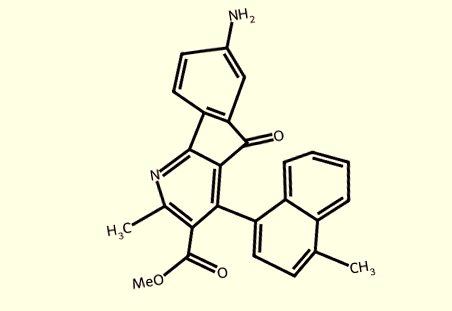 COC(=O)c1c(C)nc2c(c1-c1ccc(C)c3ccccc13)C(=O)c1cc(N)ccc1-2